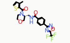 Cc1ccsc1C(=O)N1CCOC[C@H]1CNC(=O)c1ccc(-c2noc(C(F)(F)F)n2)cc1